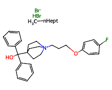 Br.CCCCCCCC.OC(c1ccccc1)(c1ccccc1)C12CC[N+](CCCOc3ccc(F)cc3)(CC1)CC2.[Br-]